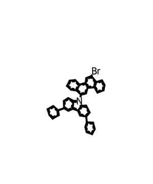 Brc1cc2c3ccccc3c(-n3c4ccc(-c5ccccc5)cc4c4cc(-c5ccccc5)ccc43)cc2c2ccccc12